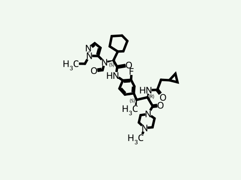 CCn1nccc1N(C=O)[C@H](C(=O)Nc1ccc([C@H](C)[C@@H](NC(=O)CC2CC2)C(=O)N2CCN(C)CC2)cc1F)C1CCCCC1